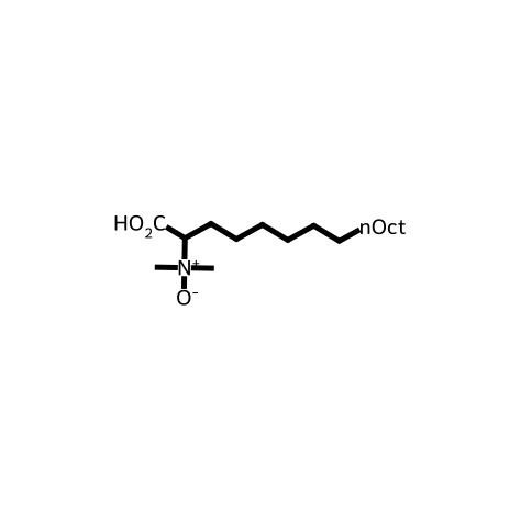 CCCCCCCCCCCCCCC(C(=O)O)[N+](C)(C)[O-]